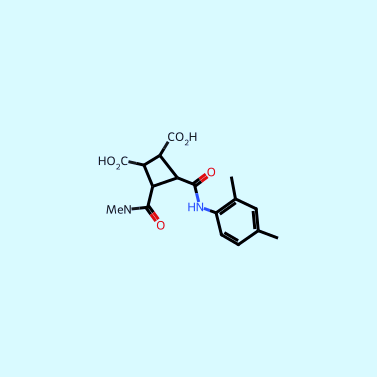 CNC(=O)C1C(C(=O)O)C(C(=O)O)C1C(=O)Nc1ccc(C)cc1C